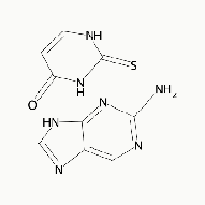 Nc1ncc2nc[nH]c2n1.O=c1cc[nH]c(=S)[nH]1